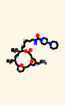 C/C=C1\CC2CC(=O)OC(/C=C/C=C\CCNC(=O)N3CCC(N4CCCCCC4)CC3)C(C)/C=C/C(C)CC3CCCC(CC(C1)O2)O3